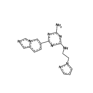 Nc1nc(NCCn2cccn2)nc(-c2ccc3cncn3c2)n1